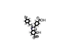 O=C(O)c1ccc(C(=O)/C(=C\c2ccc([N+](=O)[O-])c(O)c2)SCc2ccc(Br)cc2)cc1